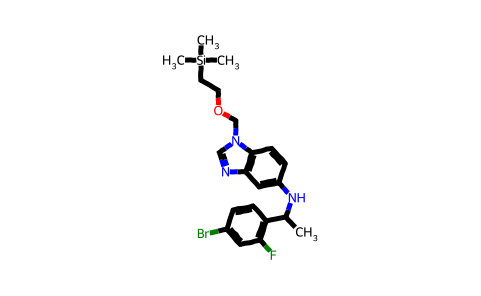 CC(Nc1ccc2c(c1)ncn2COCC[Si](C)(C)C)c1ccc(Br)cc1F